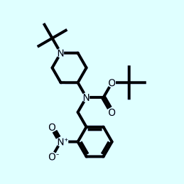 CC(C)(C)OC(=O)N(Cc1ccccc1[N+](=O)[O-])C1CCN(C(C)(C)C)CC1